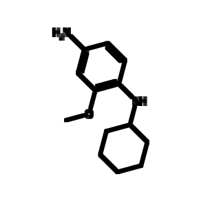 COc1cc(N)ccc1NC1CCCCC1